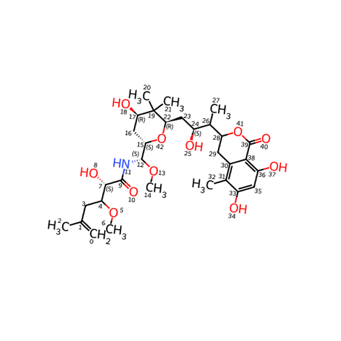 C=C(C)CC(OC)[C@H](O)C(=O)N[C@@H](OC)[C@@H]1C[C@@H](O)C(C)(C)[C@@H](C[C@H](O)C(C)C2Cc3c(C)c(O)cc(O)c3C(=O)O2)O1